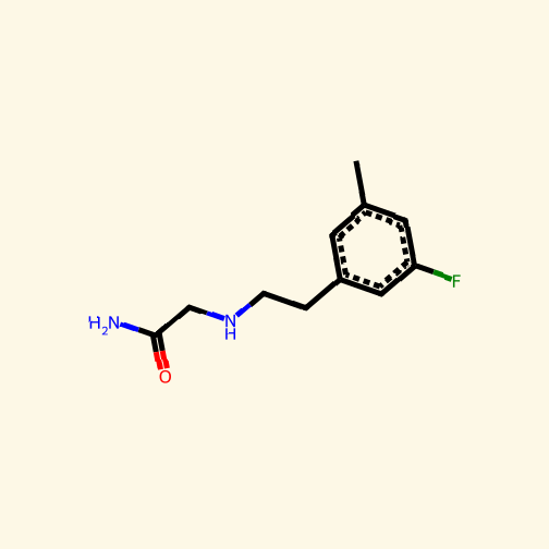 Cc1cc(F)cc(CCNCC(N)=O)c1